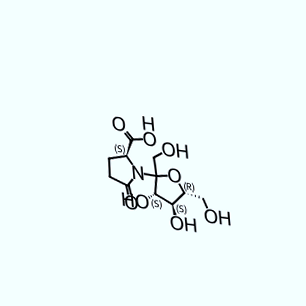 O=C(O)[C@@H]1CCC(=O)N1C1(CO)O[C@H](CO)[C@@H](O)[C@@H]1O